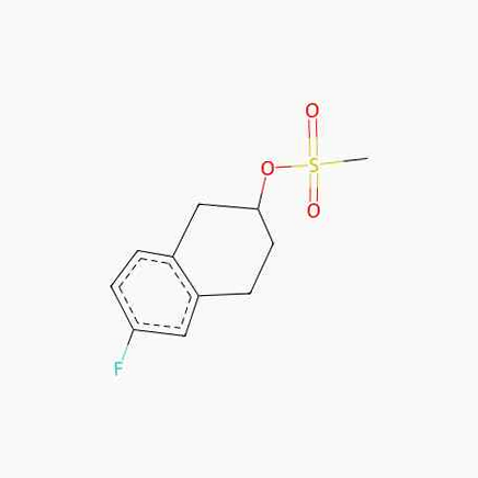 CS(=O)(=O)OC1CCc2cc(F)ccc2C1